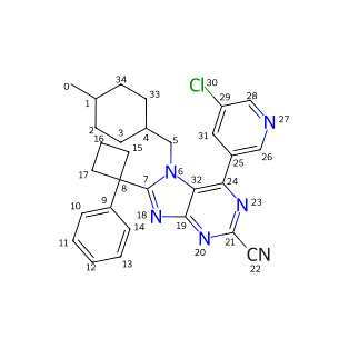 CC1CCC(Cn2c(C3(c4ccccc4)CCC3)nc3nc(C#N)nc(-c4cncc(Cl)c4)c32)CC1